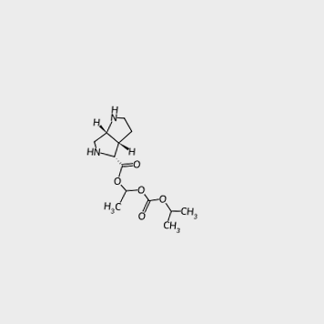 CC(C)OC(=O)OC(C)OC(=O)[C@@H]1NC[C@@H]2NCC[C@@H]21